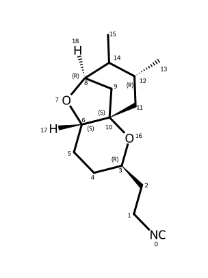 [C-]#[N+]CC[C@H]1CC[C@@H]2O[C@@H]3C[C@]2(C[C@@H](C)C3C)O1